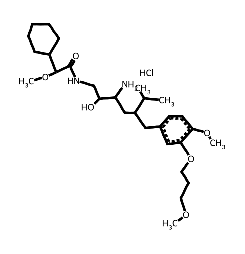 COCCCOc1cc(CC(CC(N)C(O)CNC(=O)C(OC)C2CCCCC2)C(C)C)ccc1OC.Cl